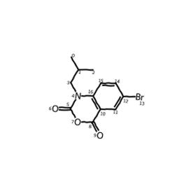 CC(C)Cn1c(=O)oc(=O)c2cc(Br)ccc21